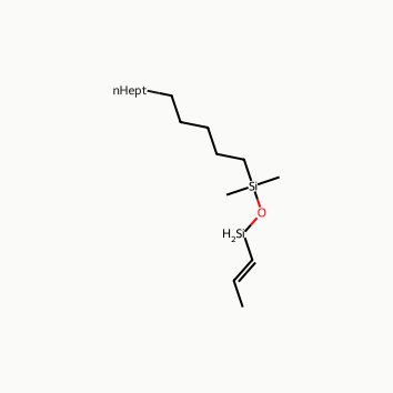 CC=C[SiH2]O[Si](C)(C)CCCCCCCCCCCC